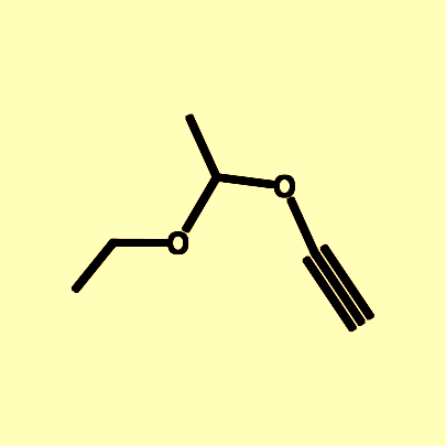 C#COC(C)OCC